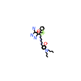 CCCCN(CCCC)c1ccc(/C=C/C=C/C=C/C2=C(C#N)C(=C(C#N)C#N)OC2(C2=CC=CCC2)C(F)(F)F)c(OC)c1